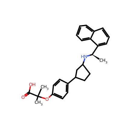 C[C@@H](NC1CCC(c2ccc(OC(C)(C)C(=O)O)cc2)C1)c1cccc2ccccc12